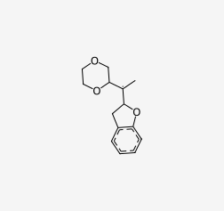 C[C](C1COCCO1)C1Cc2ccccc2O1